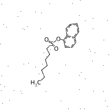 CCCCCCCS(=O)(=O)Oc1cccc2ccccc12